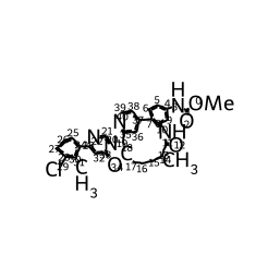 COC(=O)Nc1ccc2c(c1)NC(=O)[C@H](C)CCCC[C@H](n1cnc(-c3cccc(Cl)c3C)cc1=O)c1cc-2ccn1